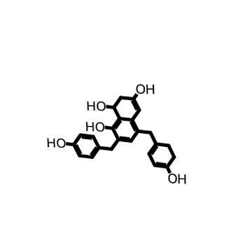 OC1=CC=C(Cc2cc(Cc3ccc(O)cc3)c(O)c3c2C=C(O)CC3O)CC1